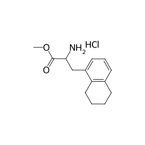 COC(=O)C(N)Cc1cccc2c1CCCC2.Cl